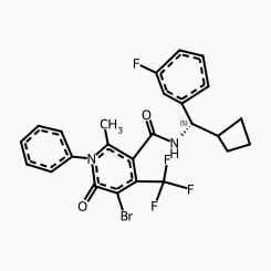 Cc1c(C(=O)N[C@H](c2cccc(F)c2)C2CCC2)c(C(F)(F)F)c(Br)c(=O)n1-c1ccccc1